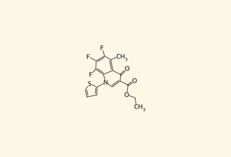 CCOC(=O)c1cn(-c2cccs2)c2c(F)c(F)c(F)c(C)c2c1=O